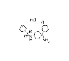 Cl.NCC1(c2cccc(Cl)c2)CCC(NS(=O)(=O)c2ccccc2)CC1